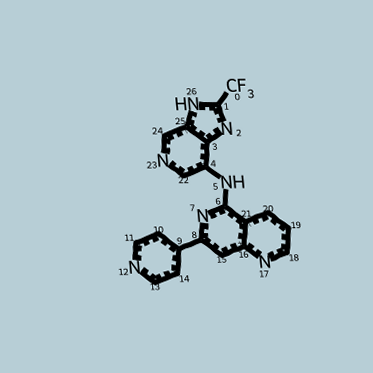 FC(F)(F)c1nc2c(Nc3nc(-c4ccncc4)cc4ncccc34)cncc2[nH]1